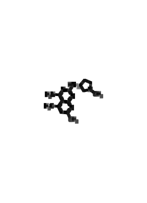 Cc1cc(C)c2c(N)nc(N[C@@H]3CCN(C)C3)nc2n1